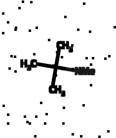 [CH2]NC(C)(C)C